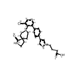 O=C(O)CCCn1cc(-c2ccc(-c3cncc(Cl)c3N3CCC4(CCNC4=O)CC3)cc2)cn1